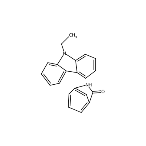 CCn1c2ccccc2c2ccccc21.O=C1Nc2cccc1c2